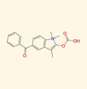 CC1=C(OC(=O)O)[N+](C)(C)c2ccc(C(=O)c3ccccc3)cc21